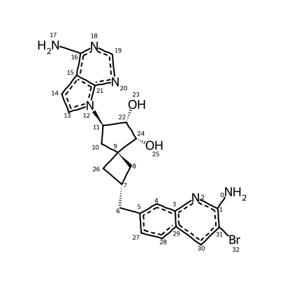 Nc1nc2cc(C[C@H]3C[C@]4(C[C@@H](n5ccc6c(N)ncnc65)[C@H](O)[C@@H]4O)C3)ccc2cc1Br